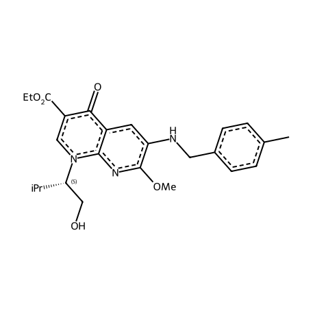 CCOC(=O)c1cn([C@H](CO)C(C)C)c2nc(OC)c(NCc3ccc(C)cc3)cc2c1=O